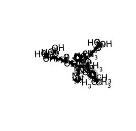 COc1ccccc1Oc1c(OCCOC(=O)CCCC(CON(O)O)ON(O)O)nc(-c2ncccn2)nc1N(C(C)(C)OC(=O)OCCCCON(O)O)S(=O)(=O)c1ccc(C(C)(C)C)cc1